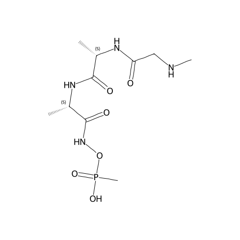 CNCC(=O)N[C@@H](C)C(=O)N[C@@H](C)C(=O)NOP(C)(=O)O